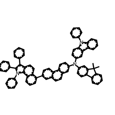 CC1(C)c2ccccc2-c2ccc(N(c3ccc4c(ccc5cc(-c6cccc7c6ccc6c(-c8ccccc8)c(-c8ccccc8)n(-c8ccccc8)c67)ccc54)c3)c3ccc4c(c3)c3ccccc3n4-c3ccccc3)cc21